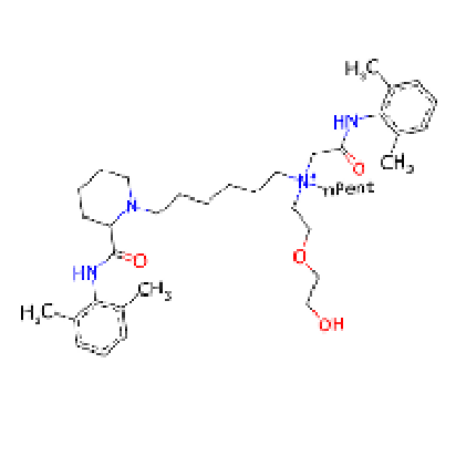 CCCCC[N+](CCCCCCN1CCCCC1C(=O)Nc1c(C)cccc1C)(CCOCCO)CC(=O)Nc1c(C)cccc1C